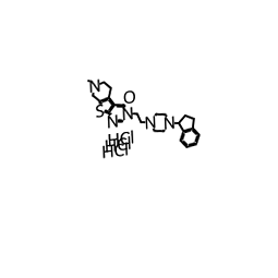 CN1CCc2c(sc3ncn(CCN4CCN(C5CCc6ccccc65)CC4)c(=O)c23)C1.Cl.Cl.Cl